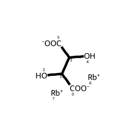 O=C([O-])C(O)C(O)C(=O)[O-].[Rb+].[Rb+]